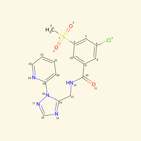 CS(=O)(=O)c1cc(Cl)cc(C(=O)NCc2ncnn2-c2ccccn2)c1